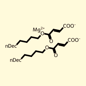 CCCCCCCCCCCCCCOC(=O)/C=C/C(=O)[O-].CCCCCCCCCCCCCCOC(=O)/C=C/C(=O)[O-].[Mg+2]